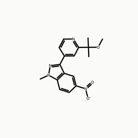 COC(C)(C)c1cc(-c2nn(C)c3ccc([N+](=O)[O-])cc23)ccn1